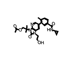 CC(=O)OCC(C)(C)n1c(=O)n(CCO)c2cc(-c3cc(C(=O)NC4CC4)ccc3C)cnc21